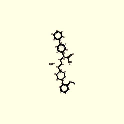 COc1ccccc1N1CCN(CCCN(C(=O)O)c2ccc(-c3ccccc3)cc2)CC1.Cl